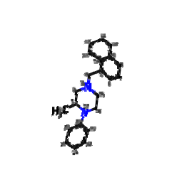 CC1CN(Cc2cccc3ccccc23)CCN1c1ccccc1